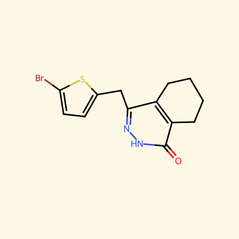 O=c1[nH]nc(Cc2ccc(Br)s2)c2c1CCCC2